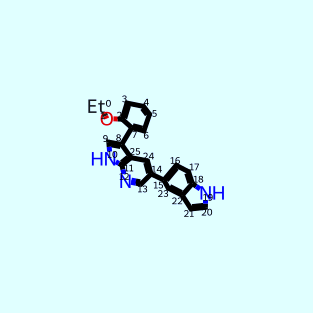 CCOc1ccccc1-c1c[nH]c2ncc(-c3ccc4[nH]ccc4c3)cc12